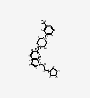 Clc1cccc(N2CCN(c3ccc4ccn(CCN5CCCC5)c4n3)CC2)c1